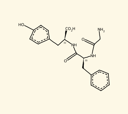 NCC(=O)N[C@@H](Cc1ccccc1)C(=O)N[C@@H](Cc1ccc(O)cc1)C(=O)O